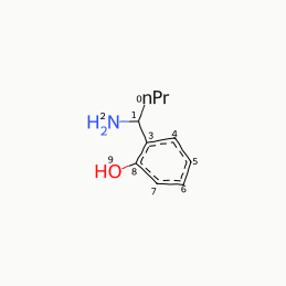 C[CH]CC(N)c1ccccc1O